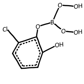 OOB(OO)Oc1c(O)cccc1Cl